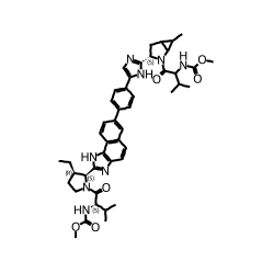 CC[C@@H]1CCN(C(=O)[C@@H](NC(=O)OC)C(C)C)[C@@H]1c1nc2ccc3cc(-c4ccc(-c5cnc([C@@H]6CC7C(C)C7N6C(=O)C(NC(=O)OC)C(C)C)[nH]5)cc4)ccc3c2[nH]1